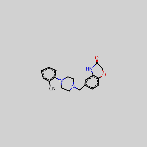 N#Cc1ccccc1N1CCN(Cc2ccc3c(c2)NC(=O)CO3)CC1